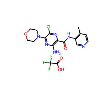 Cc1ccncc1NC(=O)c1nc(Cl)c(N2CCOCC2)nc1N.O=C(O)C(F)(F)F